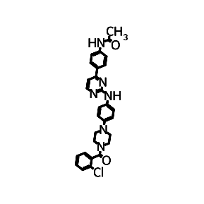 CC(=O)Nc1ccc(-c2ccnc(Nc3ccc(N4CCN(C(=O)c5ccccc5Cl)CC4)cc3)n2)cc1